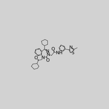 Cc1nc(-c2cccc(NC(=O)CN3N=C(C4CCCCC4)c4ccccc4N(CC(=O)C4CCCCC4)C3=O)c2)cs1